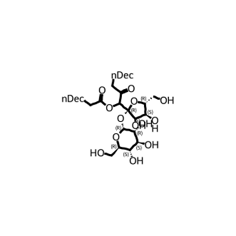 CCCCCCCCCCCC(=O)OC(C(=O)CCCCCCCCCCC)[C@@]1(O[C@H]2O[C@H](CO)[C@@H](O)[C@H](O)[C@H]2O)O[C@H](CO)[C@@H](O)[C@@H]1O